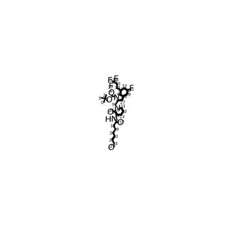 CC(C)(C)OC(=O)n1c(Cn2cccc(NC(=O)CCC/C=C/C=O)c2=O)cc2cc(F)cc(CCC(F)(F)F)c21